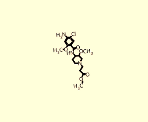 CCOC(=O)CCN1CCC(NC(=O)c2cc(Cl)c(N)cc2OC)C(OC)C1